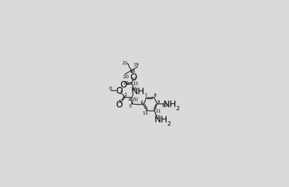 COC(=O)[C@H](Cc1ccc(N)c(N)c1)NC(=O)OC(C)(C)C